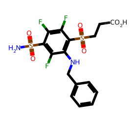 NS(=O)(=O)c1c(F)c(F)c(S(=O)(=O)CCC(=O)O)c(NCc2ccccc2)c1F